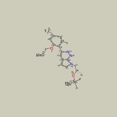 COCOc1cc(C(F)(F)F)cc(C)c1-c1cc2ccn(C[C@H](C)O[Si](C)(C)C(C)(C)C)c2nn1